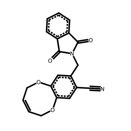 N#Cc1cc2c(cc1CN1C(=O)c3ccccc3C1=O)OCC=CCO2